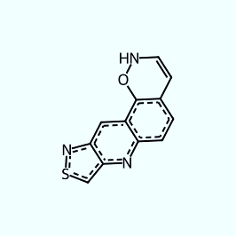 C1=Cc2ccc3nc4csnc4cc3c2ON1